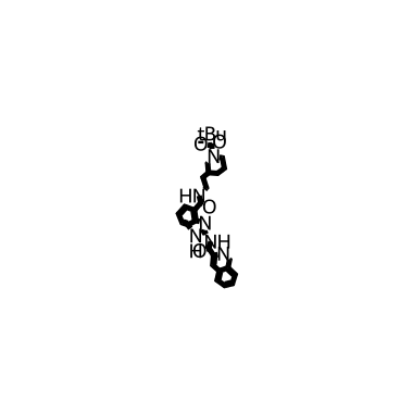 CC(C)(C)OC(=O)N1CCCC(CCNC(=O)c2cccc3[nH]c(NC(=O)c4cc5ccccc5cn4)nc23)C1